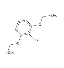 [CH2]CCc1c(OCCCCCCCCCCC)cccc1OCCCCCCCCCCC